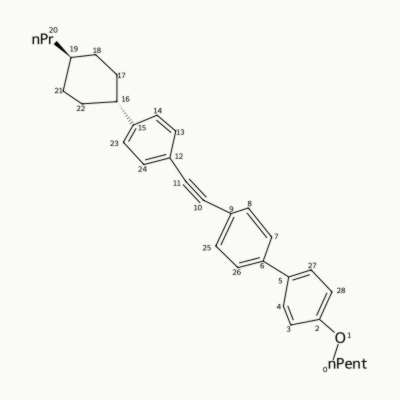 CCCCCOc1ccc(-c2ccc(C#Cc3ccc([C@H]4CC[C@H](CCC)CC4)cc3)cc2)cc1